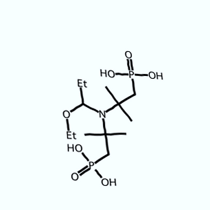 CCOC(CC)N(C(C)(C)CP(=O)(O)O)C(C)(C)CP(=O)(O)O